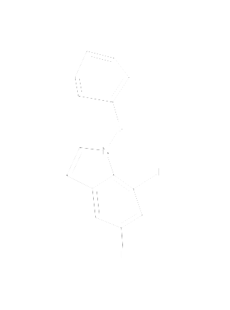 Fc1cc(F)c2c(ccn2Sc2ccccc2)c1